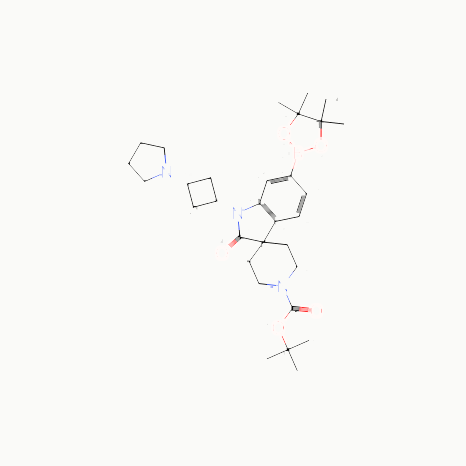 CC(C)(C)OC(=O)N1CCC2(CC1)C(=O)N([C@H]1C[C@@H](N3CCCC3)C1)c1cc(B3OC(C)(C)C(C)(C)O3)ccc12